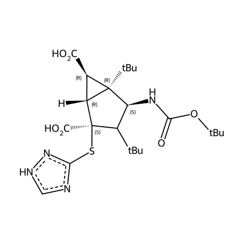 CC(C)(C)OC(=O)N[C@H]1C(C(C)(C)C)[C@](Sc2nc[nH]n2)(C(=O)O)[C@@H]2[C@@H](C(=O)O)[C@]21C(C)(C)C